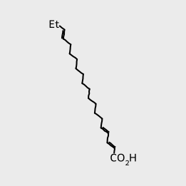 CC/C=C/CCCCCCCCCCC/C=C/C=C/C(=O)O